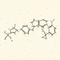 COc1ncnc(C2(C)CC2)c1-c1ncc2cnn(Cc3ccc(-n4nc(C(F)(F)F)cc4C)cc3)c2n1